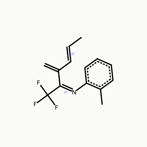 C=C(/C=C/C)/C(=N\c1ccccc1C)C(F)(F)F